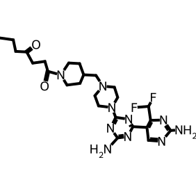 CCCC(=O)CCC(=O)N1CCC(CN2CCN(c3nc(N)nc(-c4cnc(N)nc4C(F)F)n3)CC2)CC1